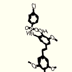 COc1cc(C=Cc2cc(OC)c(OC)c(OC)c2)cc(NS(=O)(=O)c2ccc(Cl)cc2)c1O